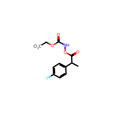 CC(C(=O)ONC(=O)OCC(Cl)(Cl)Cl)c1ccc(F)cc1